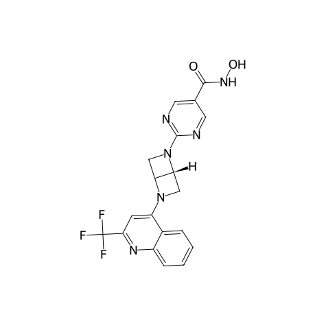 O=C(NO)c1cnc(N2CC3[C@H]2CN3c2cc(C(F)(F)F)nc3ccccc23)nc1